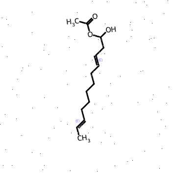 C/C=C/CCCCC/C=C/CC(O)OC(C)=O